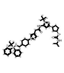 CC(C)NC(=O)O[C@@H]1CC[C@H](c2cc(NC(=O)Cc3cnn(C4CCC(CO[Si](c5ccccc5)(c5ccccc5)C(C)(C)C)CC4)c3)n(C(C)(C)C)n2)C1